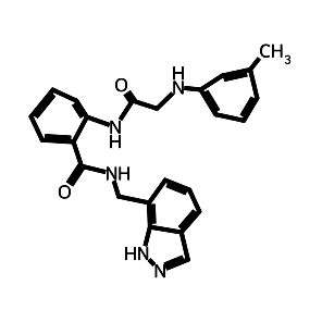 Cc1cccc(NCC(=O)Nc2ccccc2C(=O)NCc2cccc3cn[nH]c23)c1